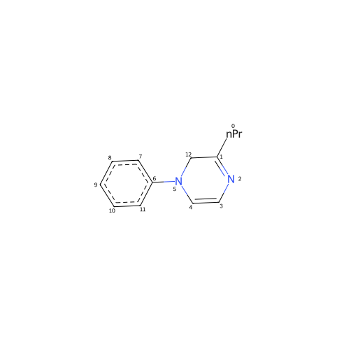 CCCC1=NC=CN(c2ccccc2)C1